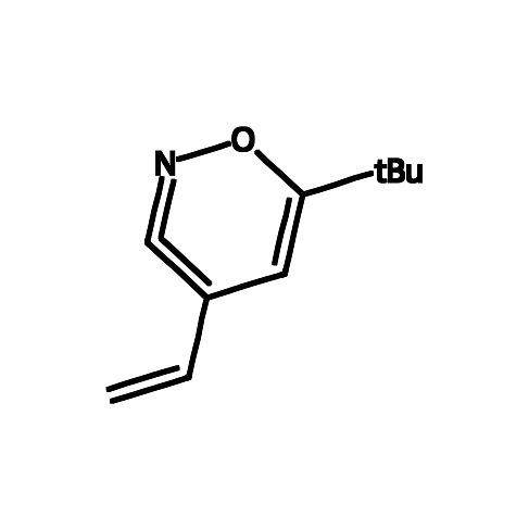 C=CC1=C=NOC(C(C)(C)C)=C1